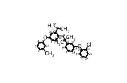 Cc1cccc(Oc2ccc(CC(C)(C)c3cccc(Oc4ccccc4Cl)c3)c(C(C)C)c2)c1